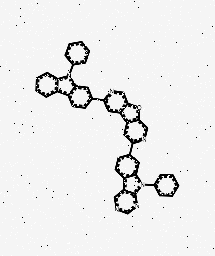 c1ccc(-n2c3ccccc3c3ccc(-c4cc5c(cn4)oc4cnc(-c6ccc7c8cncnc8n(-c8ccccc8)c7c6)cc45)cc32)cc1